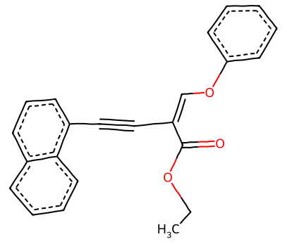 CCOC(=O)C(C#Cc1cccc2ccccc12)=COc1ccccc1